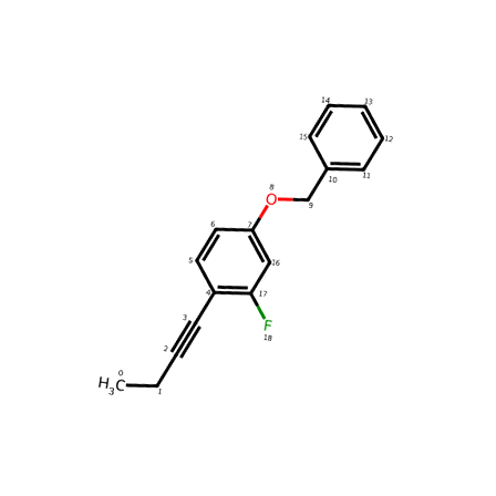 CCC#Cc1ccc(OCc2ccccc2)cc1F